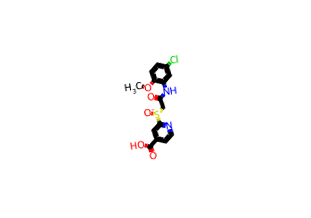 COc1ccc(Cl)cc1NC(=O)C[S+]([O-])c1cc(C(=O)O)ccn1